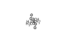 CC1=Cc2c(-c3ccccc3)cccc2C1[Si](C)(C)C1C(C)=Cc2c(-c3ccccc3)cccc21